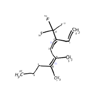 C=C/C(=C\C(C)=C(\C)CCC)C(F)(F)F